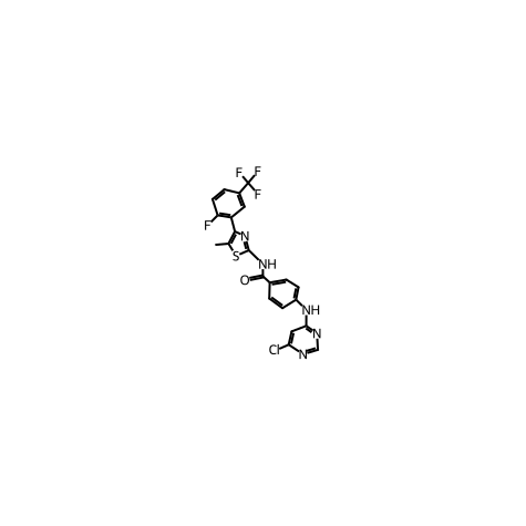 Cc1sc(NC(=O)c2ccc(Nc3cc(Cl)ncn3)cc2)nc1-c1cc(C(F)(F)F)ccc1F